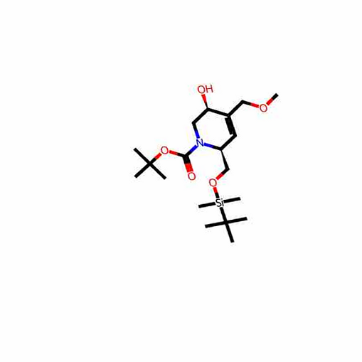 COCC1=C[C@@H](CO[Si](C)(C)C(C)(C)C)N(C(=O)OC(C)(C)C)C[C@H]1O